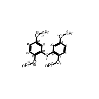 CCCOc1ccc(OCCC)c(Sc2cc(OCCC)ccc2OCCC)c1